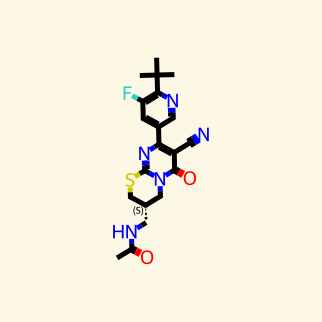 CC(=O)NC[C@@H]1CSc2nc(-c3cnc(C(C)(C)C)c(F)c3)c(C#N)c(=O)n2C1